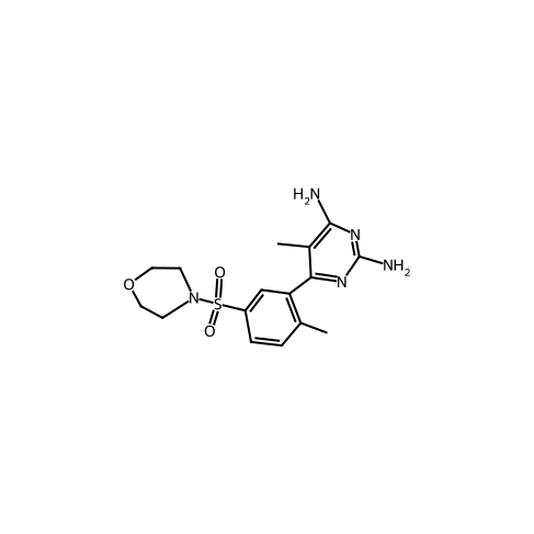 Cc1ccc(S(=O)(=O)N2CCOCC2)cc1-c1nc(N)nc(N)c1C